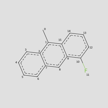 Cc1c2ccccc2cc2c(F)cccc12